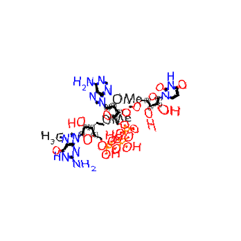 COCC[C@H]1[C@@H](O)[C@H](n2c[n+](C)c3c(=O)[nH]c(N)nc32)O[C@@H]1COP(=O)(O)OP(=O)(O)OP(=O)(O)OC[C@H]1O[C@@H](n2cnc3c(N)ncnc32)[C@H](OC)[C@@H]1OCOC[C@H]1O[C@@H](n2ccc(=O)[nH]c2=O)[C@H](O)[C@@H]1O